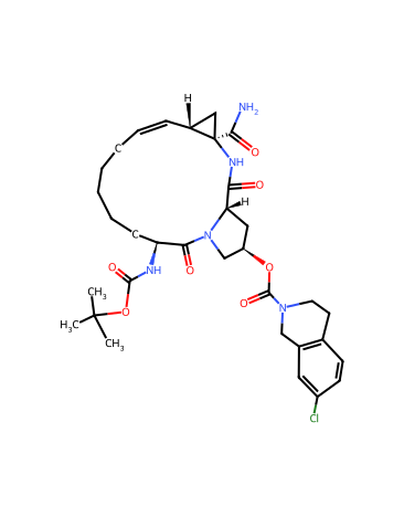 CC(C)(C)OC(=O)N[C@H]1CCCCC/C=C\[C@@H]2C[C@@]2(C(N)=O)NC(=O)[C@@H]2C[C@@H](OC(=O)N3CCc4ccc(Cl)cc4C3)CN2C1=O